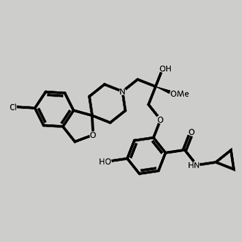 CO[C@@](O)(COc1cc(O)ccc1C(=O)NC1CC1)CN1CCC2(CC1)OCc1cc(Cl)ccc12